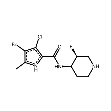 Cc1[nH]c(C(=O)N[C@@H]2CCNC[C@@H]2F)c(Cl)c1Br